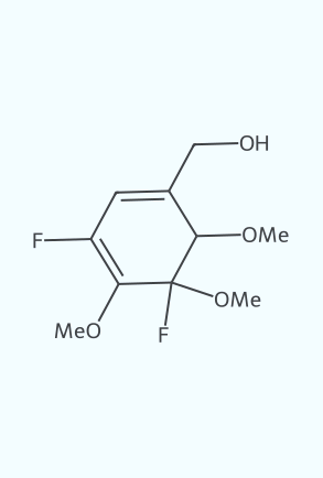 COC1=C(F)C=C(CO)C(OC)C1(F)OC